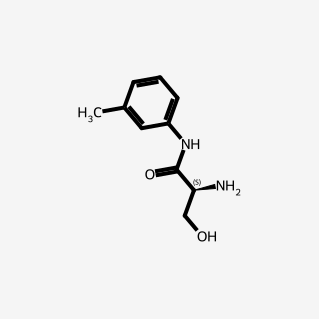 Cc1cccc(NC(=O)[C@@H](N)CO)c1